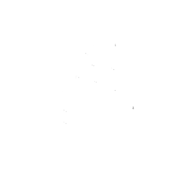 CC(C)c1cnn2c(NCc3ccccc3-n3cccn3)nc(N3CCNCC3)nc12